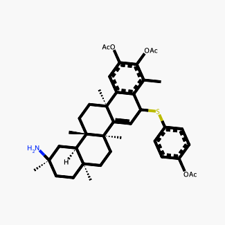 CC(=O)Oc1ccc(SC2C=C3[C@@](C)(CC[C@@]4(C)[C@@H]5C[C@](C)(N)CC[C@]5(C)CC[C@]34C)c3cc(OC(C)=O)c(OC(C)=O)c(C)c32)cc1